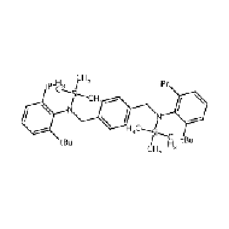 CC(C)c1cccc(C(C)(C)C)c1N(Cc1ccc(CN(c2c(C(C)C)cccc2C(C)(C)C)[Si](C)(C)C)cc1)[Si](C)(C)C